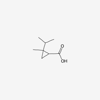 CC(C)C1(C)CC1C(=O)O